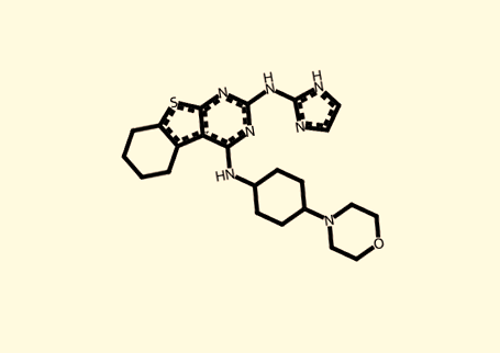 c1c[nH]c(Nc2nc(NC3CCC(N4CCOCC4)CC3)c3c4c(sc3n2)CCCC4)n1